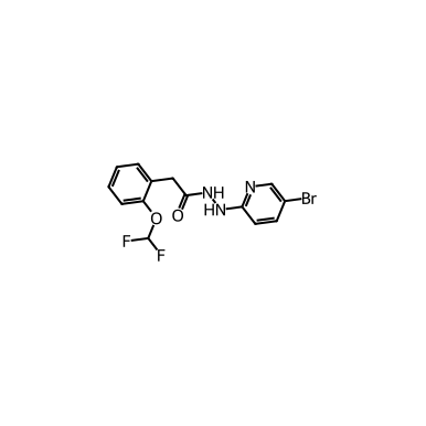 O=C(Cc1ccccc1OC(F)F)NNc1ccc(Br)cn1